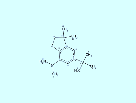 CC(N)c1cc(C(C)(C)C)cc2c1CCC2(C)C